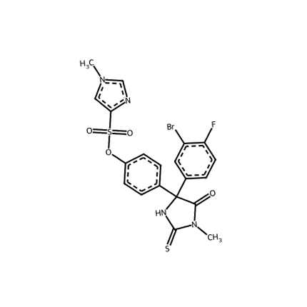 CN1C(=O)C(c2ccc(OS(=O)(=O)c3cn(C)cn3)cc2)(c2ccc(F)c(Br)c2)NC1=S